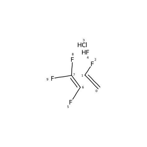 C=CF.Cl.F.FC=C(F)F